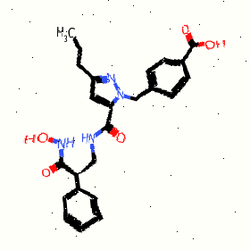 CCCc1cc(C(=O)NC[C@H](C(=O)NO)c2ccccc2)n(Cc2ccc(C(=O)O)cc2)n1